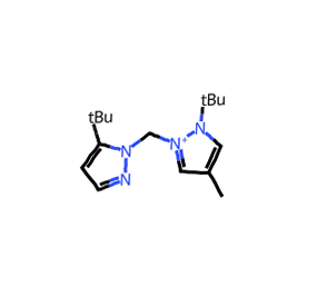 Cc1cn(C(C)(C)C)[n+](Cn2nccc2C(C)(C)C)c1